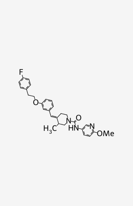 COc1ccc(NC(=O)N2CCC(=Cc3cccc(OCCc4ccc(F)cc4)c3)C(C)C2)cn1